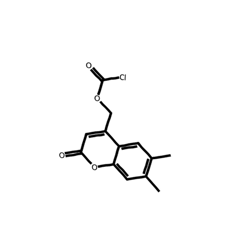 Cc1cc2oc(=O)cc(COC(=O)Cl)c2cc1C